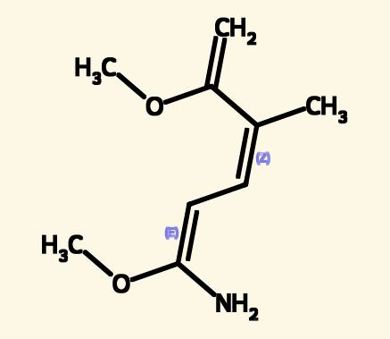 C=C(OC)/C(C)=C\C=C(/N)OC